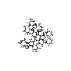 c1ccc(C2(c3ccccc3)c3ccccc3-c3c(N(c4ccc([Si](c5ccccc5)(c5ccccc5)c5ccccc5)cc4)c4cc5c6ccccc6oc5c5ccccc45)cccc32)cc1